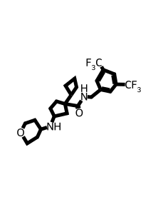 O=C(NCc1cc(C(F)(F)F)cc(C(F)(F)F)c1)C1(C2CCC2)CCC(NC2CCOCC2)C1